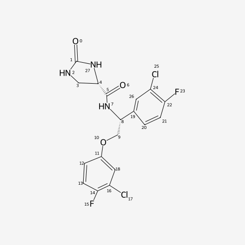 O=C1NC[C@@H](C(=O)N[C@@H](COc2ccc(F)c(Cl)c2)c2ccc(F)c(Cl)c2)N1